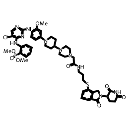 COc1cc(N2CCC(N3CCN(CC(=O)NCCCSc4cccc5c4CN(C4CCC(=O)NC4=O)C5=O)CC3)CC2)ccc1Nc1ncc(Cl)c(Nc2ccccc2P(=O)(OC)OC)n1